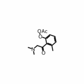 CC(=O)OOc1cccc(C)c1C(=O)CN(C)C